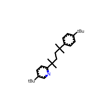 CC(C)(C)c1ccc(C(C)(C)CCC(C)(C)c2ccc(C(C)(C)C)cn2)cc1